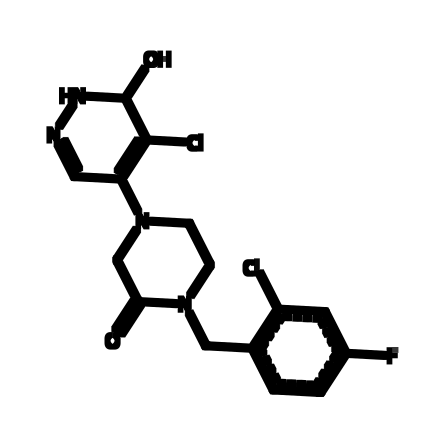 O=C1CN(C2=C(Cl)C(O)NN=C2)CCN1Cc1ccc(F)cc1Cl